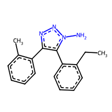 CCc1ccccc1-c1c(-c2ccccc2C)nnn1N